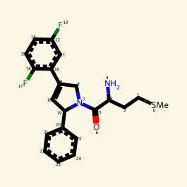 CSCCC(N)C(=O)N1CC(c2cc(F)ccc2F)=CC1c1ccccc1